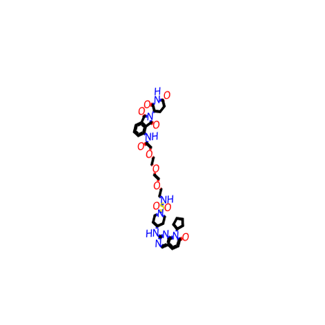 O=C1CCC(N2C(=O)c3cccc(NC(=O)COCCOCCOCCNS(=O)(=O)N4CCC(Nc5ncc6ccc(=O)n(C7CCCC7)c6n5)CC4)c3C2=O)C(=O)N1